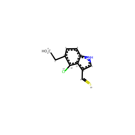 O=C(O)Cc1ccc2[nH]cc(C=S)c2c1Cl